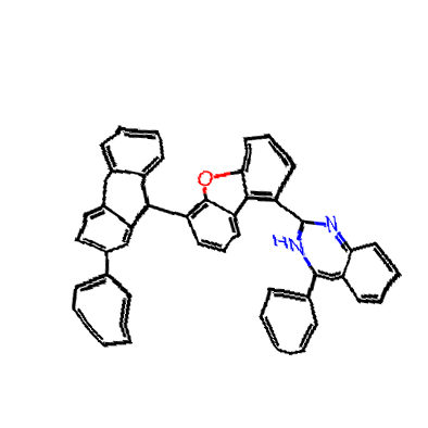 c1ccc(C2=c3ccccc3=NC(c3cccc4oc5c(C6c7ccccc7-c7ccc(-c8ccccc8)cc76)cccc5c34)N2)cc1